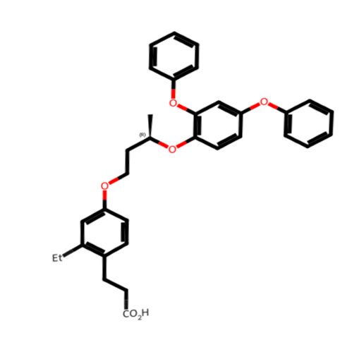 CCc1cc(OCC[C@@H](C)Oc2ccc(Oc3ccccc3)cc2Oc2ccccc2)ccc1CCC(=O)O